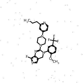 CCCc1cc(N2CCN(C3=Nc4c(csc4F)CN3c3cc(C(F)(F)F)ccc3OC)CC2)ccn1